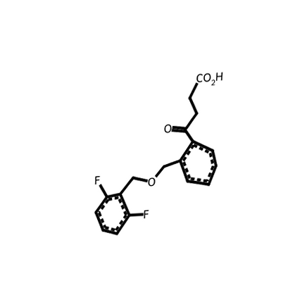 O=C(O)CCC(=O)c1ccccc1COCc1c(F)cccc1F